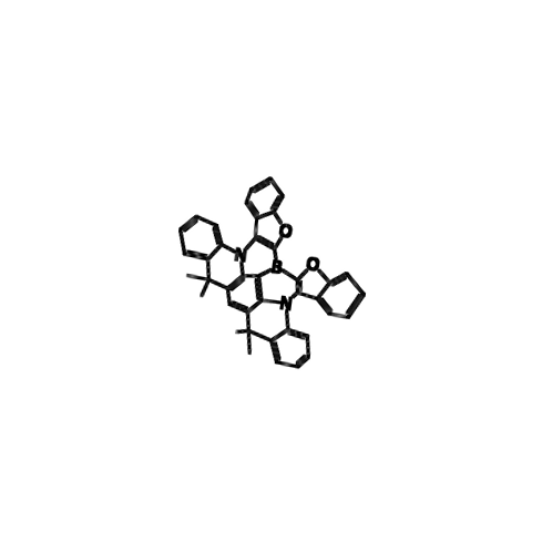 CC1(C)c2ccccc2N2c3c1cc1c4c3B(c3oc5ccccc5c32)c2oc3ccccc3c2N4c2ccccc2C1(C)C